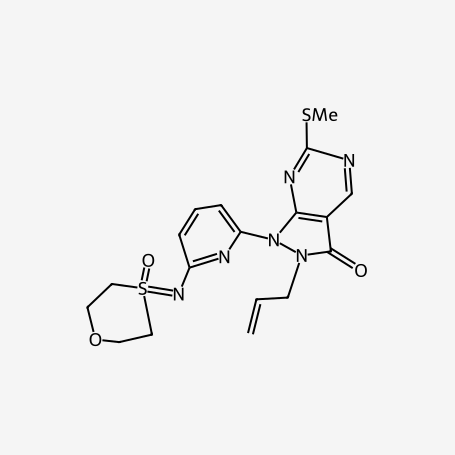 C=CCn1c(=O)c2cnc(SC)nc2n1-c1cccc(N=S2(=O)CCOCC2)n1